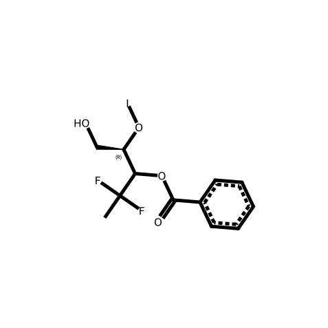 CC(F)(F)C(OC(=O)c1ccccc1)[C@@H](CO)OI